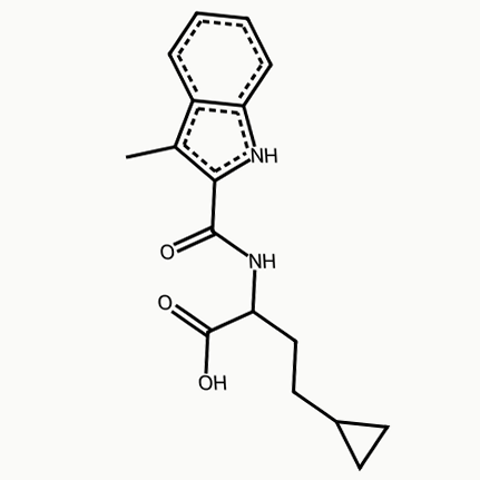 Cc1c(C(=O)NC(CCC2CC2)C(=O)O)[nH]c2ccccc12